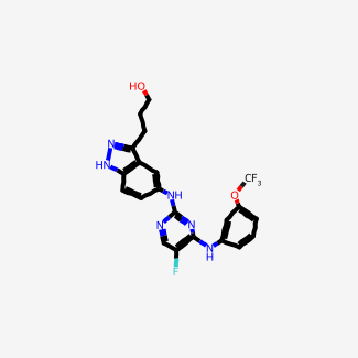 OCCCc1n[nH]c2ccc(Nc3ncc(F)c(Nc4cccc(OC(F)(F)F)c4)n3)cc12